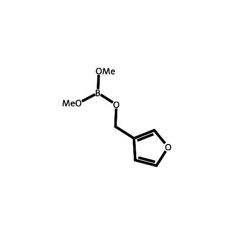 COB(OC)OCc1ccoc1